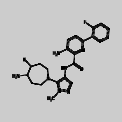 Cn1ncc(NC(=O)c2nc(-c3ccccc3F)ccc2N)c1N1CCC(N)C(F)CC1